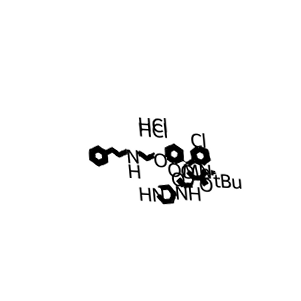 COc1c(OCCCNCCCc2ccccc2)cccc1[C@H]1O[C@H](CC(=O)NC2CCNCC2)C(=O)N(CC(C)(C)C)c2ccc(Cl)cc21.Cl.Cl